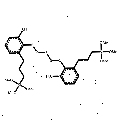 CO[Si](CCCc1cccc(C)c1SSSSSc1c(C)cccc1CCC[Si](OC)(OC)OC)(OC)OC